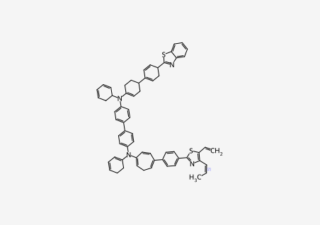 C=Cc1sc(-c2ccc(C3=CCC=C(N(C4=CC=CCC4)c4ccc(-c5ccc(N(C6=CCC(C7=CCC(c8nc9ccccc9s8)C=C7)CC6)C6C=CC=CC6)cc5)cc4)C=C3)cc2)nc1/C=C\C